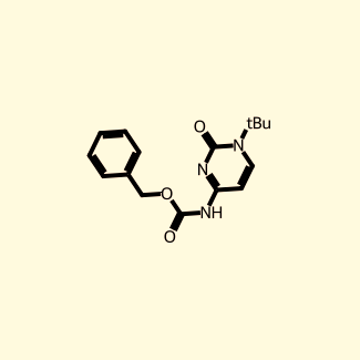 CC(C)(C)n1ccc(NC(=O)OCc2ccccc2)nc1=O